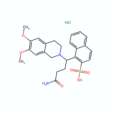 COc1cc2c(cc1OC)CN(C(CCC(N)=O)c1c(S(=O)(=O)O)ccc3ccccc13)CC2.Cl